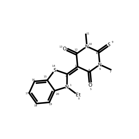 CCN1C(=C2C(=O)N(C)C(=S)N(C)C2=O)Sc2ccccc21